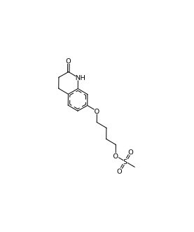 CS(=O)(=O)OCCCCOc1ccc2c(c1)NC(=O)CC2